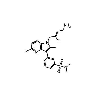 Cc1ccc2c(n1)c(-c1cccc(S(=O)(=O)N(C)C)c1)c(C)n2C/C(F)=C/CN